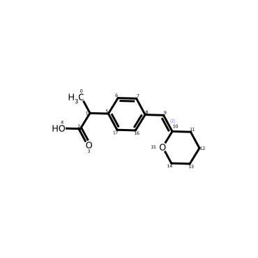 CC(C(=O)O)c1ccc(/C=C2/CCCCO2)cc1